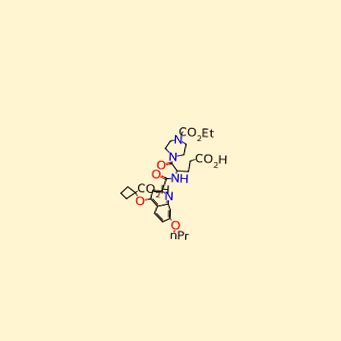 CCCOc1ccc2c(OC3(C(=O)O)CCC3)cc(C(=O)NC(CCC(=O)O)C(=O)N3CCN(C(=O)OCC)CC3)nc2c1